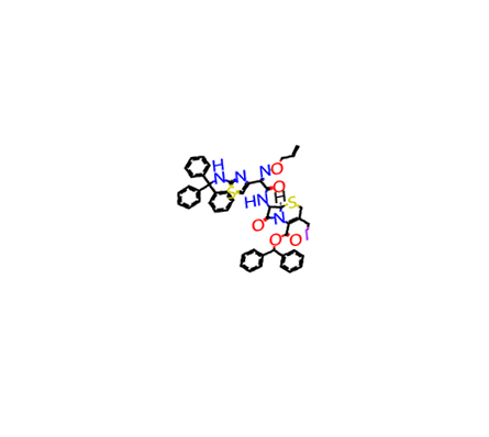 C=CCO/N=C(\C(=O)N[C@@H]1C(=O)N2C(C(=O)OC(c3ccccc3)c3ccccc3)=C(CI)CS[C@H]12)c1csc(NC(c2ccccc2)(c2ccccc2)c2ccccc2)n1